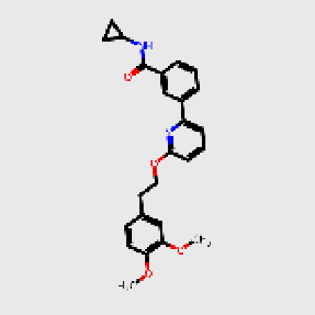 COc1ccc(CCOc2cccc(-c3cccc(C(=O)NC4CC4)c3)n2)cc1OC